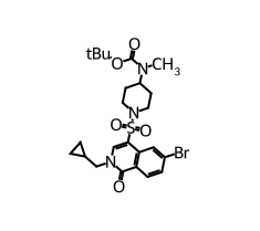 CN(C(=O)OC(C)(C)C)C1CCN(S(=O)(=O)c2cn(CC3CC3)c(=O)c3ccc(Br)cc23)CC1